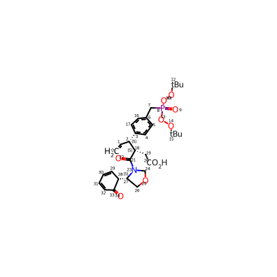 C=C[C@H](c1ccc(CP(=O)(OOC(C)(C)C)OOC(C)(C)C)cc1)[C@H](CC(=O)O)C(=O)N1COC[C@@H]1C1C=CC=CC1=O